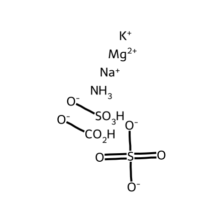 N.O=C([O-])O.O=S(=O)([O-])O.O=S(=O)([O-])[O-].[K+].[Mg+2].[Na+]